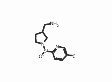 NCC1CCN([S+]([O-])c2ccc(Cl)cn2)C1